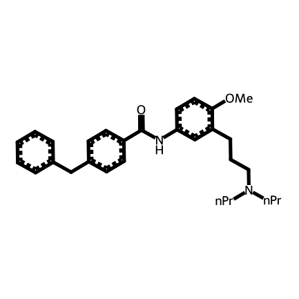 CCCN(CCC)CCCc1cc(NC(=O)c2ccc(Cc3ccccc3)cc2)ccc1OC